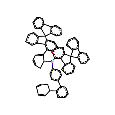 C1=CCC(c2ccccc2-c2ccc(N(c3cccc4c3-c3ccccc3C43c4ccccc4-c4ccccc43)C3CC=CC=C3c3cccc4c3-c3ccccc3C43c4ccccc4-c4ccccc43)cc2)C=C1